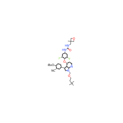 CC(C)COc1ccc(-c2cn(COCC[Si](C)(C)C)c3nccc(Oc4c(F)cc(NC(=O)NCC5(C)COC5)cc4F)c23)cc1C#N